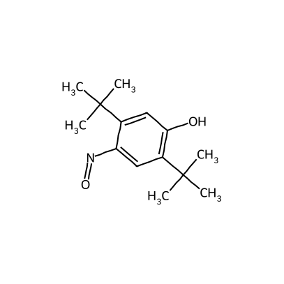 CC(C)(C)c1cc(N=O)c(C(C)(C)C)cc1O